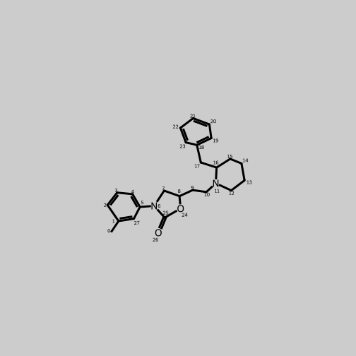 Cc1cccc(N2CC(CCN3CCCCC3Cc3ccccc3)OC2=O)c1